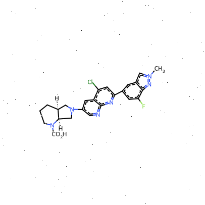 Cn1cc2cc(-c3cc(Cl)c4cc(N5C[C@@H]6CCCN(C(=O)O)[C@@H]6C5)cnc4n3)cc(F)c2n1